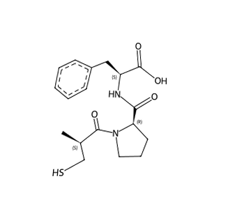 C[C@H](CS)C(=O)N1CCC[C@@H]1C(=O)N[C@@H](Cc1ccccc1)C(=O)O